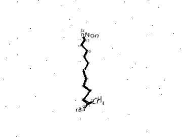 [CH2]CCCC(C)CCCCCCCCCCCCCCCCCCC